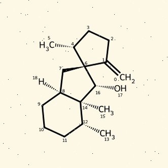 C=C1CC[C@@H](C)[C@]12C[C@@H]1CCC[C@@H](C)[C@]1(C)[C@H]2O